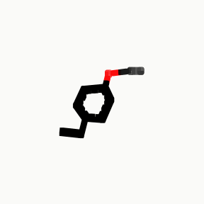 C=Cc1ccc(OC=O)cc1